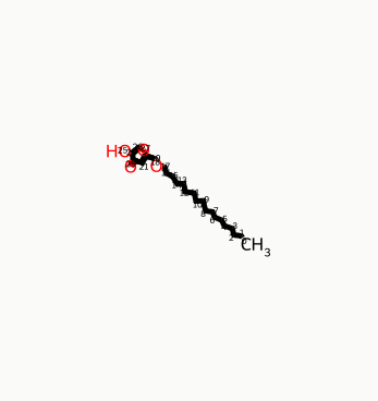 CCCCCCCCCCCCCCCCCCOCc1cc(=O)c(O)co1